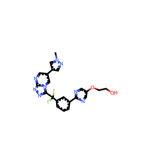 Cn1cc(-c2cnc3nnc(C(F)(F)c4cccc(-c5ncc(OCCO)cn5)c4)n3c2)cn1